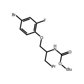 CC(C)CC(COc1ccc(Br)cc1F)NC(=O)OC(C)(C)C